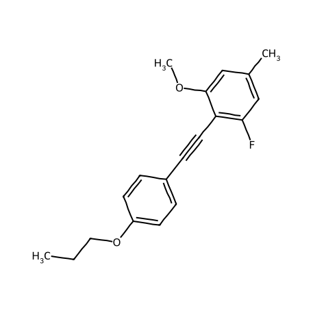 CCCOc1ccc(C#Cc2c(F)cc(C)cc2OC)cc1